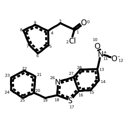 O=C(Cl)Cc1ccccc1.O=[N+]([O-])c1ccc2sc(Cc3ccccc3)nc2c1